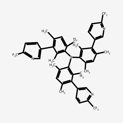 Cc1cc(C)c(-c2ccc(C(F)(F)F)nc2)c(C)c1B(c1c(C)cc(C)c(-c2ccc(C(F)(F)F)nc2)c1C)c1c(C)cc(C)c(-c2ccc(C(F)(F)F)nc2)c1C